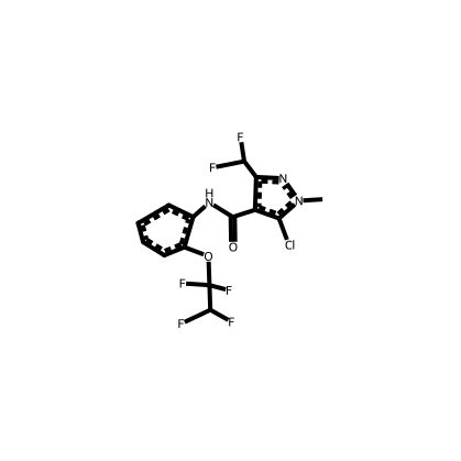 Cn1nc(C(F)F)c(C(=O)Nc2ccccc2OC(F)(F)C(F)F)c1Cl